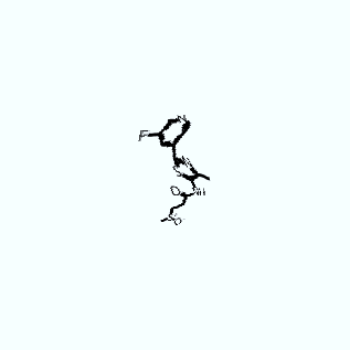 Cc1nc(-c2cncc(F)c2)sc1NC(=O)CC[S+](C)[O-]